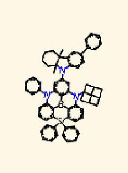 CC12CCCCC1(C)N(c1cc3c4c(c1)N(C15CC6CC7CC(C1)C765)c1cccc5c1B4c1c(cccc1[Si]5(c1ccccc1)c1ccccc1)N3c1ccccc1)c1ccc(-c3ccccc3)cc12